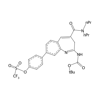 CCCN(CCC)C(=O)C1=Cc2ccc(-c3ccc(OS(=O)(=O)C(F)(F)F)cc3)cc2N=C(NC(=O)OC(C)(C)C)C1